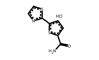 Cl.NC(=O)c1ccc(-c2nccs2)s1